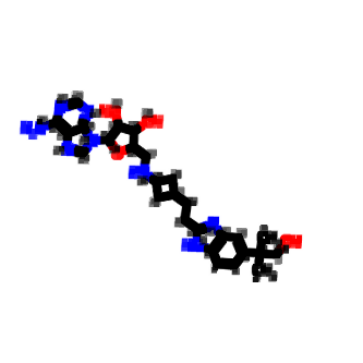 CC(C)(CO)c1ccc2[nH]c(CCC3CC(NCC4OC(n5cnc6c(N)ncnc65)C(O)C4O)C3)nc2c1